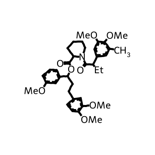 CCC(C(=O)N1CCCCC1C(=O)OC(CCc1ccc(OC)c(OC)c1)c1cccc(OC)c1)c1cc(C)c(OC)c(OC)c1